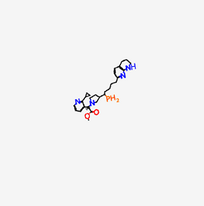 COC(=O)[C@@H](c1cccnc1C1CC1)N1CCC(C(P)CCCCc2ccc3c(n2)NCCC3)C1